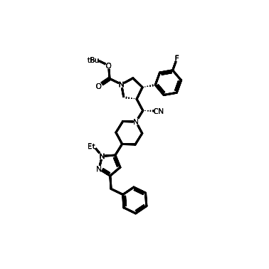 CCn1nc(Cc2ccccc2)cc1C1CCN([C@@H](C#N)[C@@H]2CN(C(=O)OC(C)(C)C)C[C@@H]2c2cccc(F)c2)CC1